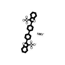 O=S(=O)([O-])c1c(-c2ccc(-c3ccc(-c4oc5ccccc5c4S(=O)(=O)[O-])cc3)cc2)oc2ccccc12.[Na+].[Na+]